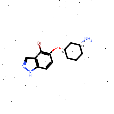 N[C@@H]1CCC[C@H](Oc2ccc3[nH]ncc3c2Br)C1